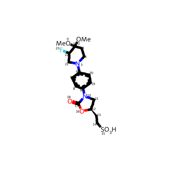 COC1(OC)CCN(c2ccc(N3C[C@@H](CCS(=O)(=O)O)OC3=O)cc2)CC1F